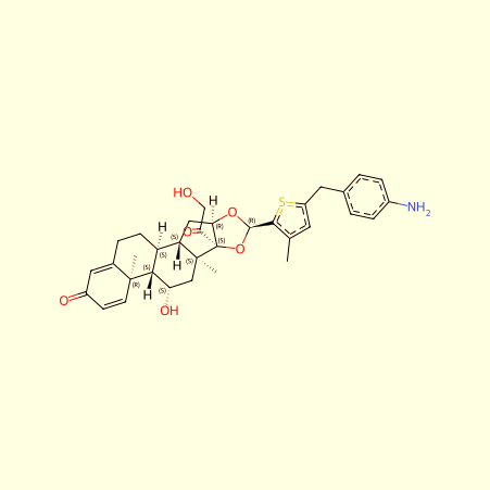 Cc1cc(Cc2ccc(N)cc2)sc1[C@@H]1O[C@@H]2C[C@H]3[C@@H]4CCC5=CC(=O)C=C[C@]5(C)[C@H]4[C@@H](O)C[C@]3(C)[C@]2(C(=O)CO)O1